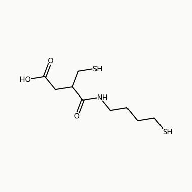 O=C(O)CC(CS)C(=O)NCCCCS